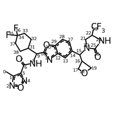 Cc1nonc1C(=O)NC(c1nc2cc(C(C3COC3)N3CC(C(F)(F)F)NC3=O)ccc2o1)C1CCC(F)(F)CC1